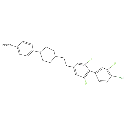 CCCCCc1ccc(C2CCC(CCc3cc(F)c(-c4ccc(Cl)c(F)c4)c(F)c3)CC2)cc1